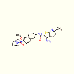 Cc1ccc2c(N)c(C(=O)NC3CCc4cc(N5CC6CCC(C5)N6C(=O)OC(C)(C)C)ccc4C3)sc2n1